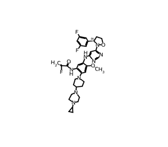 C=C(F)C(=O)Nc1cc(Nc2cc(N3OCC[C@@H]3c3cc(F)cc(F)c3)ncn2)c(OC)cc1N1CCC(N2CCN(C3CC3)CC2)CC1